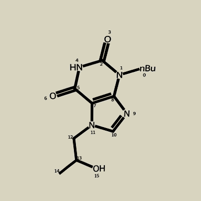 CCCCn1c(=O)[nH]c(=O)c2c1ncn2CC(C)O